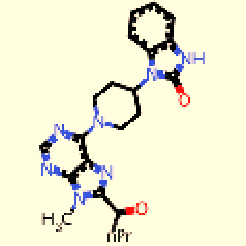 CCCC(=O)c1nc2c(N3CCC(n4c(=O)[nH]c5ccccc54)CC3)ncnc2n1C